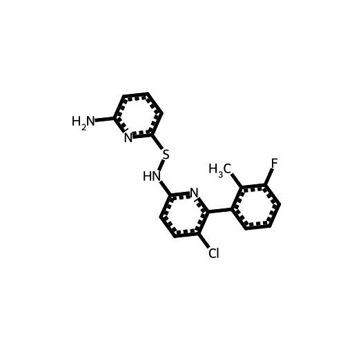 Cc1c(F)cccc1-c1nc(NSc2cccc(N)n2)ccc1Cl